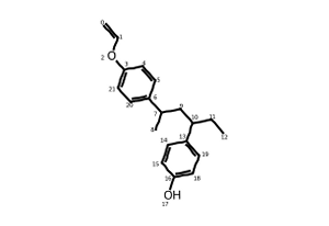 C=COc1ccc(C(C)CC(CC)c2ccc(O)cc2)cc1